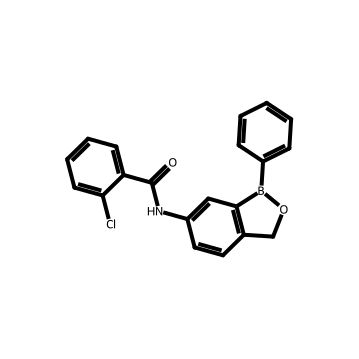 O=C(Nc1ccc2c(c1)B(c1ccccc1)OC2)c1ccccc1Cl